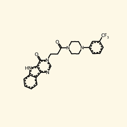 O=C(CCn1cnc2c([nH]c3ccccc32)c1=O)N1CCN(c2cccc(C(F)(F)F)c2)CC1